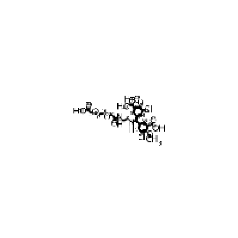 COc1c(Cl)cc(C(NCCNC(=O)COCCOCC(=O)O)c2cc(Cl)c(OC)c(C(=O)O)c2)cc1C(=O)O